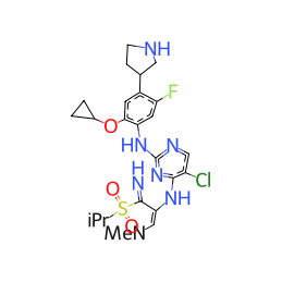 CN/C=C(/Nc1nc(Nc2cc(F)c(C3CCNC3)cc2OC2CC2)ncc1Cl)C(=N)S(=O)(=O)C(C)C